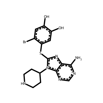 Nc1ncnc2c1nc(Sc1cc(O)c(O)cc1Br)n2C1CCNCC1